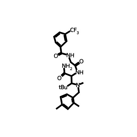 Cc1ccc(CN(C)C(C(NC(=O)CNC(=O)c2cccc(C(F)(F)F)c2)C(N)=O)C(C)(C)C)c(C)c1